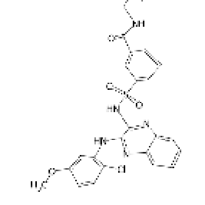 COc1ccc(Cl)c(Nc2nc3ccccc3nc2NS(=O)(=O)c2cccc(C(=O)NCN)c2)c1